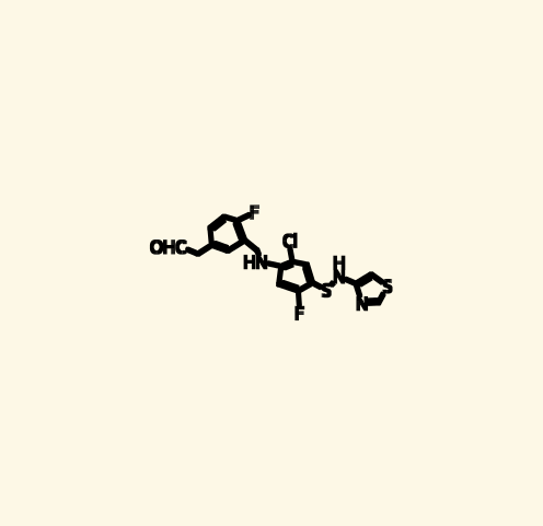 O=CCc1ccc(F)c(CNc2cc(F)c(SNc3cscn3)cc2Cl)c1